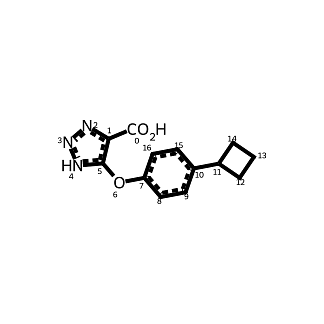 O=C(O)c1nn[nH]c1Oc1ccc(C2CCC2)cc1